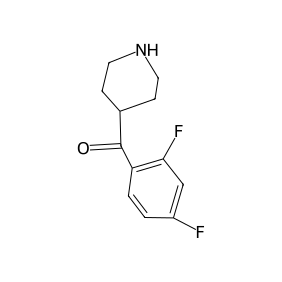 O=C(c1ccc(F)cc1F)C1CCNCC1